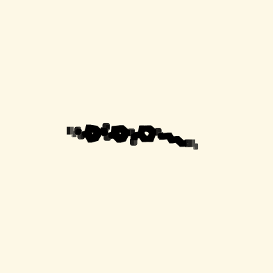 CCCCCCOC1CCC(C(=O)Oc2ccc(OC(=O)c3ccc(OC)cc3)cc2)CC1